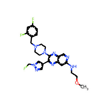 COCCNc1cc2nc(-c3cnn(CF)c3)c(N3CCN(Cc4ccc(F)cc4F)CC3)nc2cn1